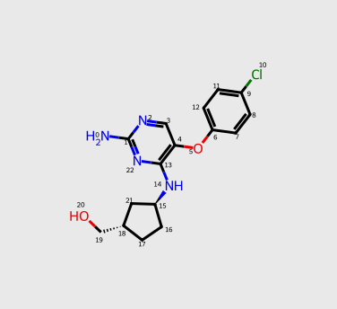 Nc1ncc(Oc2ccc(Cl)cc2)c(N[C@H]2CC[C@H](CO)C2)n1